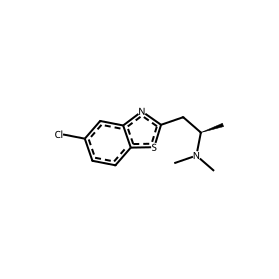 C[C@H](Cc1nc2cc(Cl)ccc2s1)N(C)C